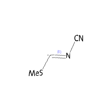 CS/[C]=N/C#N